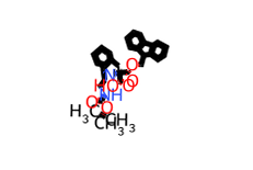 CC(C)(C)OC(=O)NCC1CN1[C@@](Cc1ccccc1)(C(=O)O)C(=O)OCC1c2ccccc2-c2ccccc21